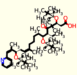 CC[C@@H](C(=O)C(C)(C)[C@H](CC(=O)O)O[Si](C)(C)C(C)(C)C)[C@@H](O[Si](C)(C)C(C)(C)C)[C@@H](C)CCCC(C)=CC[C@H](O[Si](C)(C)C(C)(C)C)C(C)=Cc1ccccn1